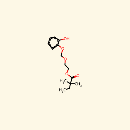 CCC(C)(C)C(=O)OCCOCOc1ccccc1O